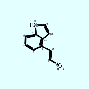 O=[N+]([O-])C=Cc1cccc2[nH]ccc12